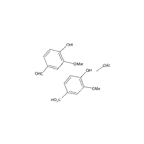 COC(C)=O.COc1cc(C(=O)O)ccc1O.COc1cc(C=O)ccc1O